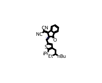 CCCCC(CC)Cc1cc(/C=C2\C(=O)c3ccccc3C2=C(C#N)C#N)sc1C(C)C